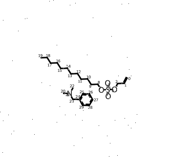 C=CCOS(=O)(=O)OCCCCCCCCCCCC.CN(C)Cc1ccccc1